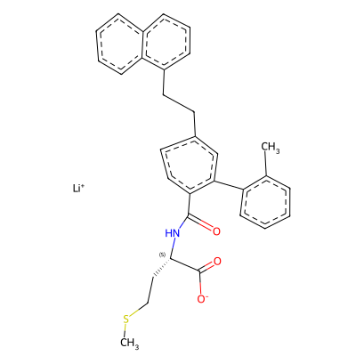 CSCC[C@H](NC(=O)c1ccc(CCc2cccc3ccccc23)cc1-c1ccccc1C)C(=O)[O-].[Li+]